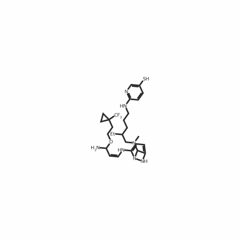 CCC(CCCNc1ccc(S)cn1)CN(C)C1C2=CC=C(N/C=C\C(N)OCCC3(C(F)(F)F)CC3)N1N2